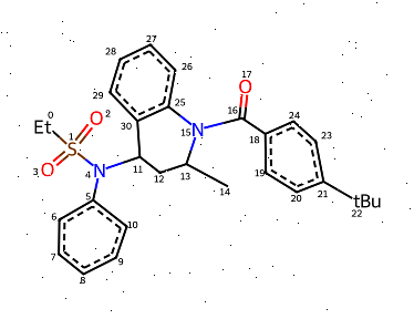 CCS(=O)(=O)N(c1ccccc1)C1CC(C)N(C(=O)c2ccc(C(C)(C)C)cc2)c2ccccc21